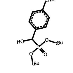 CC(C)(C)OP(=O)(OC(C)(C)C)C(O)c1ccc(C=O)cc1